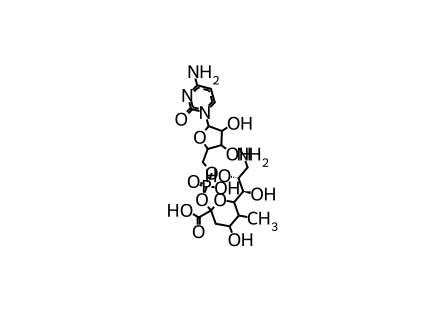 CC1C(O)CC(OP(=O)(O)OCC2OC(n3ccc(N)nc3=O)C(O)C2O)(C(=O)O)OC1[C@H](O)[C@H](O)CN